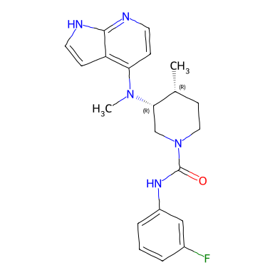 C[C@@H]1CCN(C(=O)Nc2cccc(F)c2)C[C@@H]1N(C)c1ccnc2[nH]ccc12